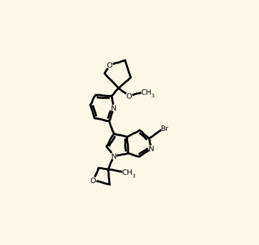 COC1(c2cccc(-c3cn(C4(C)COC4)c4cnc(Br)cc34)n2)CCOC1